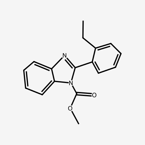 CCc1ccccc1-c1nc2ccccc2n1C(=O)OC